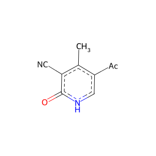 CC(=O)c1c[nH]c(=O)c(C#N)c1C